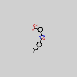 CC(C)CC1C=CC(c2nc(-c3cccc(C(=O)O)c3)no2)=CC1